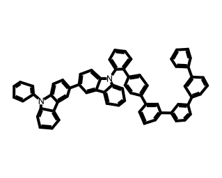 c1ccc(-c2cccc(-c3cccc(-c4cccc(-c5ccc(-c6ccccc6-n6c7ccccc7c7cc(-c8ccc9c(c8)c8ccccc8n9-c8ccccc8)ccc76)cc5)c4)c3)c2)cc1